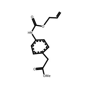 C=CCOC(=O)Nc1ccc(CC(=O)OC)cc1